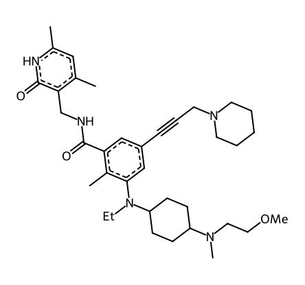 CCN(c1cc(C#CCN2CCCCC2)cc(C(=O)NCc2c(C)cc(C)[nH]c2=O)c1C)C1CCC(N(C)CCOC)CC1